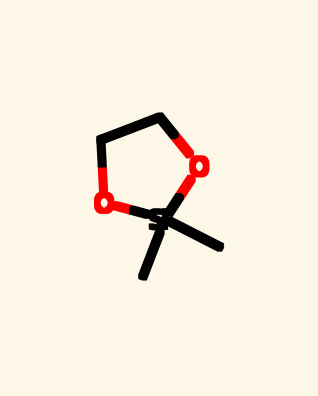 C[Si]1(C)OCCO1